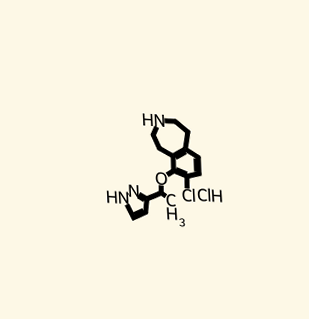 CC(Oc1c(Cl)ccc2c1CCNCC2)c1cc[nH]n1.Cl